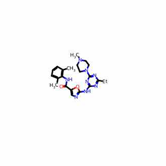 CCc1nc(Nc2ncc(C(=O)Nc3c(C)cccc3C)o2)nc(N2CCN(C)CC2)n1